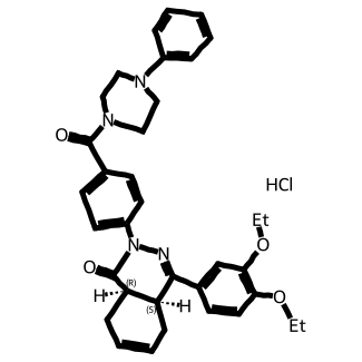 CCOc1ccc(C2=NN(c3ccc(C(=O)N4CCN(c5ccccc5)CC4)cc3)C(=O)[C@@H]3CC=CC[C@H]23)cc1OCC.Cl